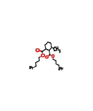 CC(C)CCCCOC(=O)C1CCCC(C)C1C(=O)OCCCCC(C)C